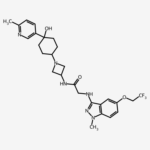 Cc1ccc(C2(O)CCC(N3CC(NC(=O)CNc4nn(C)c5ccc(OCC(F)(F)F)cc45)C3)CC2)cn1